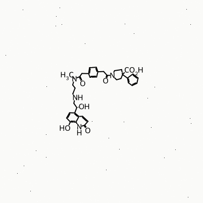 CN(CCCNC[C@H](O)c1ccc(O)c2[nH]c(=O)ccc12)C(=O)Cc1ccc(CC(=O)N2CCC(C(=O)O)(c3ccccc3)CC2)cc1